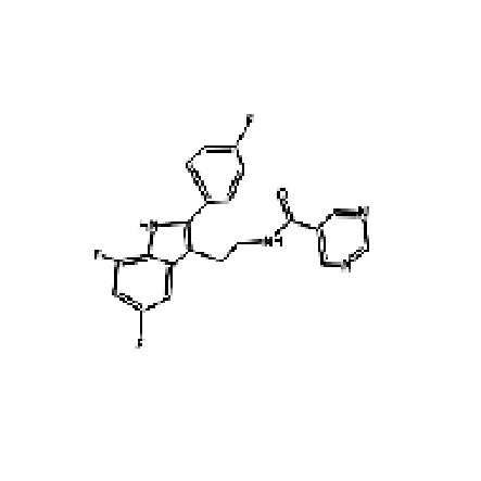 O=C(NCCc1c(-c2ccc(F)cc2)[nH]c2c(F)cc(F)cc12)c1cncnc1